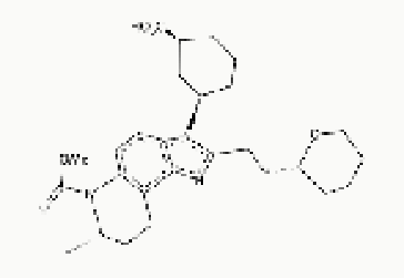 COC(=O)N1c2ccc3c(nc(CC[C@H]4CCCCO4)n3[C@@H]3CCC[C@H](C(=O)O)C3)c2CC[C@@H]1C